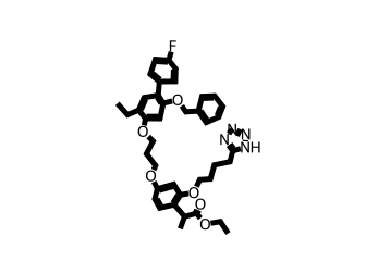 CCOC(=O)C(C)c1ccc(OCCCOc2cc(OCc3ccccc3)c(-c3ccc(F)cc3)cc2CC)cc1OCCCCc1nnn[nH]1